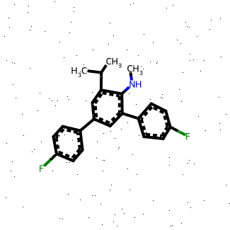 CNc1c(-c2ccc(F)cc2)cc(-c2ccc(F)cc2)cc1C(C)C